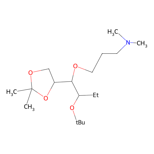 CCC(OC(C)(C)C)C(OCCCN(C)C)C1COC(C)(C)O1